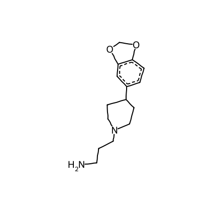 NCCCN1CCC(c2ccc3c(c2)OCO3)CC1